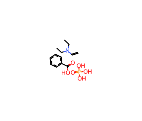 C=CN(CC)CC.O=C(O)c1ccccc1.O=P(O)(O)O